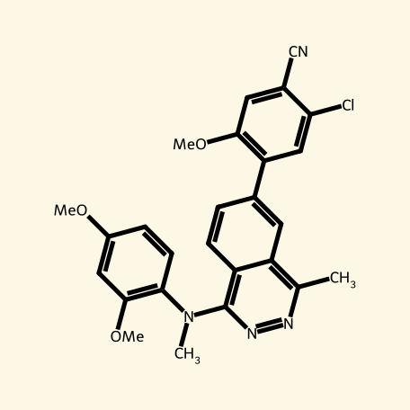 COc1ccc(N(C)c2nnc(C)c3cc(-c4cc(Cl)c(C#N)cc4OC)ccc23)c(OC)c1